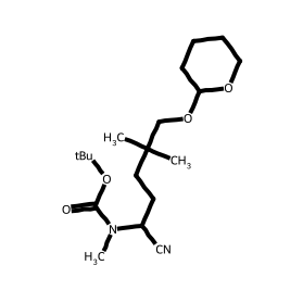 CN(C(=O)OC(C)(C)C)C(C#N)CCC(C)(C)COC1CCCCO1